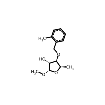 CO[C@H]1O[C@H](C)[C@H](OCc2ccccc2C)[C@H]1O